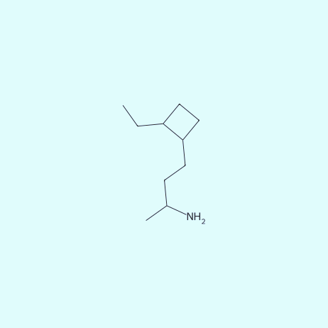 CCC1CCC1CCC(C)N